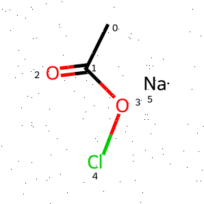 CC(=O)OCl.[Na]